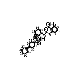 O=C(O)c1ccccc1CCCc1ccccc1NS(=O)(=O)c1ccc(-c2ccccc2)cc1